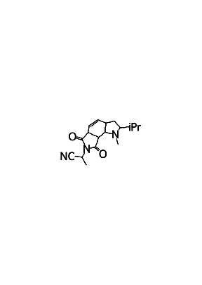 CC(C)C1CC2C=CC3C(=O)N(C(C)C#N)C(=O)C3C2N1C